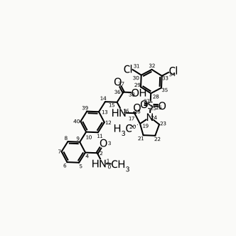 CNC(=O)c1ccccc1-c1ccc(CC(NC(=O)[C@]2(C)CCCN2S(=O)(=O)c2cc(Cl)cc(Cl)c2)C(=O)O)cc1